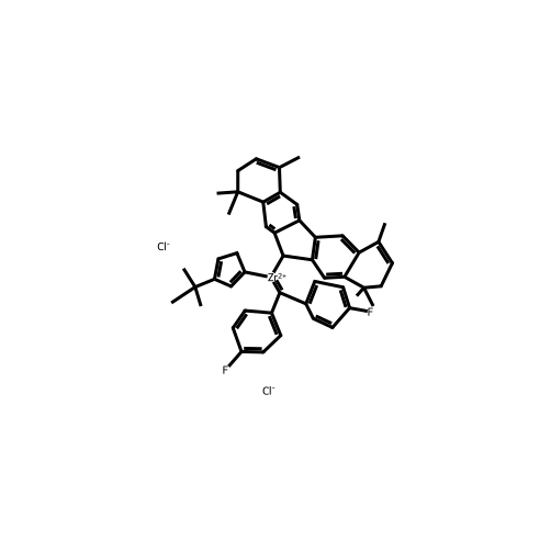 CC1=CCC(C)(C)c2cc3c(cc21)-c1cc2c(cc1[CH]3[Zr+2]([C]1=CC(C(C)(C)C)=CC1)=[C](c1ccc(F)cc1)c1ccc(F)cc1)C(C)(C)CC=C2C.[Cl-].[Cl-]